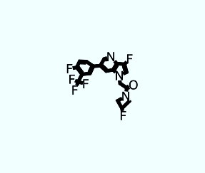 O=C(Cn1cc(F)c2ncc(-c3ccc(F)c(C(F)(F)F)c3)cc21)N1CC(F)C1